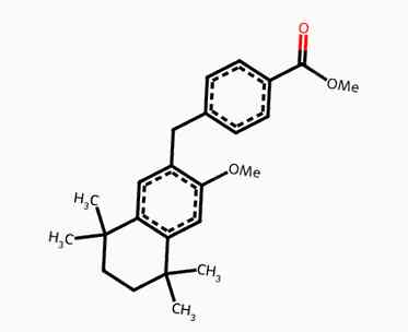 COC(=O)c1ccc(Cc2cc3c(cc2OC)C(C)(C)CCC3(C)C)cc1